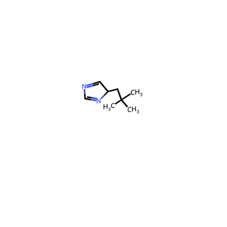 CC(C)(C)CC1C=NC=N1